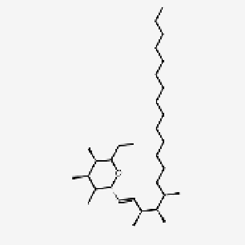 CCCCCCCCCCCCCC[C@@H](C)[C@@H](C)[C@@H](C)/C=C/[C@H]1OC(CC)[C@H](C)[C@H](C)C1C